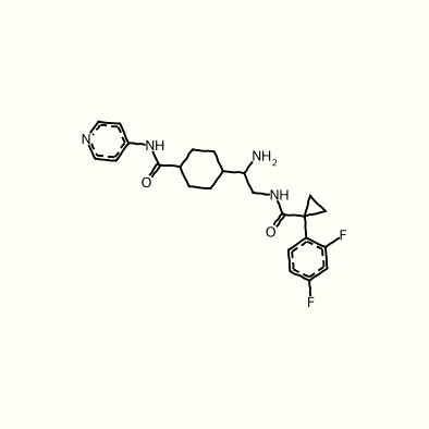 NC(CNC(=O)C1(c2ccc(F)cc2F)CC1)C1CCC(C(=O)Nc2ccncc2)CC1